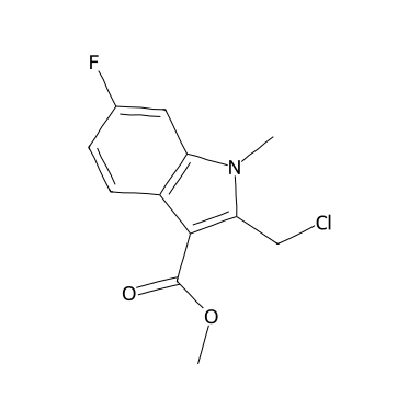 COC(=O)c1c(CCl)n(C)c2cc(F)ccc12